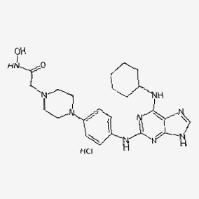 Cl.O=C(CN1CCN(c2ccc(Nc3nc(NC4CCCCC4)c4nc[nH]c4n3)cc2)CC1)NO